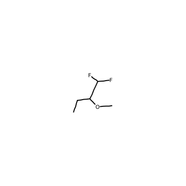 CCC(OC)C(F)F